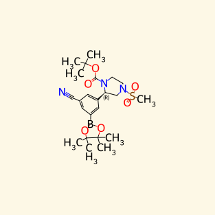 CC(C)(C)OC(=O)N1CCN(S(C)(=O)=O)C[C@H]1c1cc(C#N)cc(B2OC(C)(C)C(C)(C)O2)c1